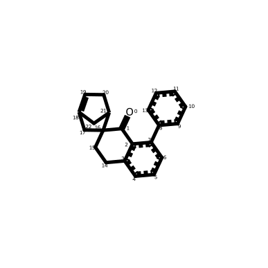 O=C1c2c(cccc2-c2ccccc2)CCC12CC1=CCC2C1